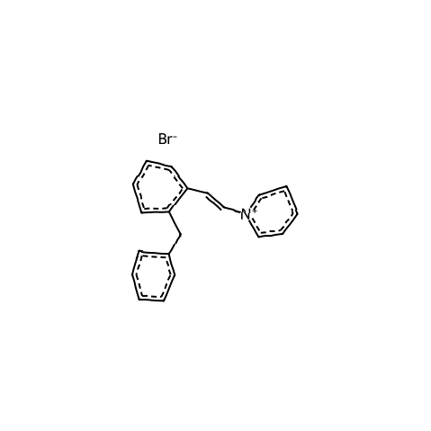 C(=C\[n+]1ccccc1)/c1ccccc1Cc1ccccc1.[Br-]